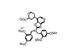 COc1ccc(CN(Cc2ccc(OC)cc2OC)c2nc3cncc(C4CCOC(C(=O)[O-])C4)c3o2)c(OC)c1.[Li+]